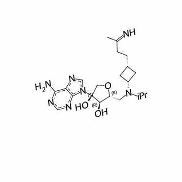 CC(=N)CC[C@H]1C[C@@H](N(C[C@H]2OC[C@@](O)(n3cnc4c(N)ncnc43)[C@@H]2O)C(C)C)C1